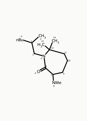 CCCCC(C)CN1C(=O)C(NC)CCCC1(C)C